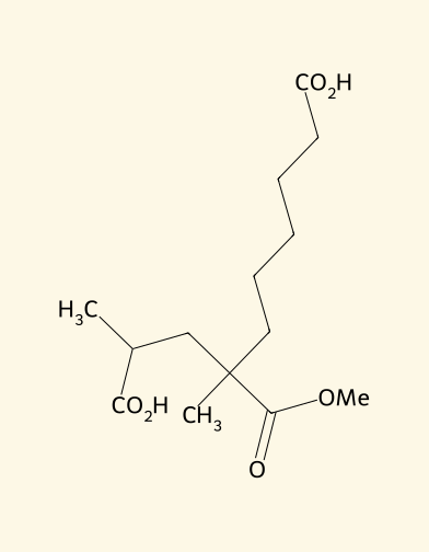 COC(=O)C(C)(CCCCCC(=O)O)CC(C)C(=O)O